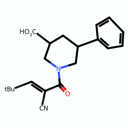 CC(C)(C)C=C(C#N)C(=O)N1CC(C(=O)O)CC(c2ccccc2)C1